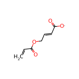 C=CC(=O)OCC=CC([O])=O